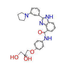 O=C(Nc1ccc(OC[C@@H](O)CO)cc1)c1cccc2[nH]c(-c3cccc(N4CCCC4)c3)nc12